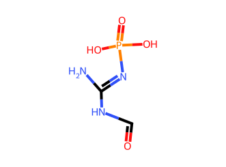 NC(=NP(=O)(O)O)NC=O